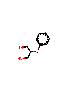 O=CC(CO)Sc1ccccc1